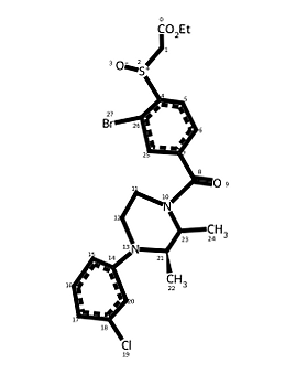 CCOC(=O)C[S+]([O-])c1ccc(C(=O)N2CCN(c3cccc(Cl)c3)[C@H](C)C2C)cc1Br